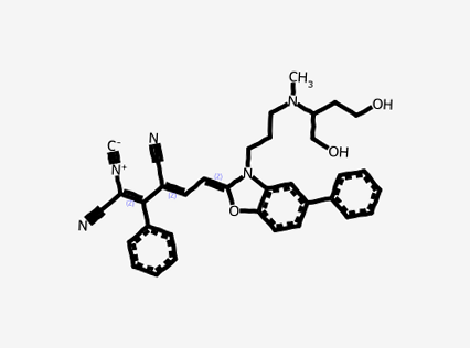 [C-]#[N+]\C(C#N)=C(/C(C#N)=C/C=C1\Oc2ccc(-c3ccccc3)cc2N1CCCN(C)C(CO)CCO)c1ccccc1